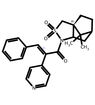 CC1(C)C2CC[C@@]13CS(=O)(=O)N(C(=O)/C(=C/c1ccccc1)c1ccncc1)C3C2